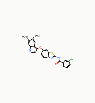 COc1cc2nccc(Oc3ccc4nc(NC(=O)c5cccc(Cl)c5)sc4c3)c2cc1OC